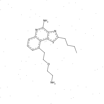 CCCCc1nc2c(N)nc3cccc(CCOCCN)c3c2s1